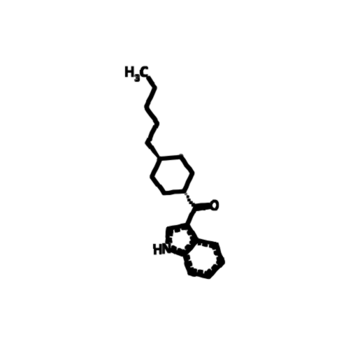 CCCCC[C@H]1CC[C@H](C(=O)c2c[nH]c3ccccc23)CC1